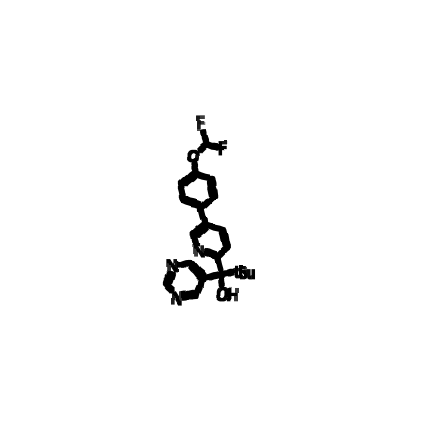 CC(C)(C)C(O)(c1cncnc1)c1ccc(-c2ccc(OC(F)F)cc2)cn1